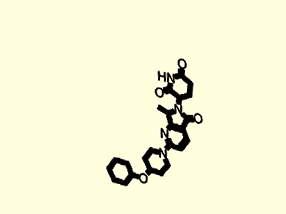 CC1c2nc(N3CCC(OC4CCCCC4)CC3)ccc2C(=O)N1C1CCC(=O)NC1=O